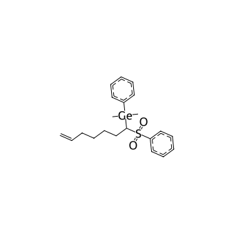 C=CCCCC[CH](S(=O)(=O)c1ccccc1)[Ge]([CH3])([CH3])[c]1ccccc1